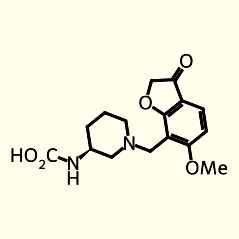 COc1ccc2c(c1CN1CCC[C@H](NC(=O)O)C1)OCC2=O